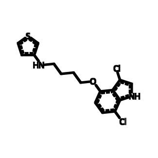 Clc1ccc(OCCCCNc2ccsc2)c2c(Cl)c[nH]c12